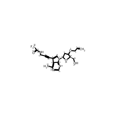 C=CCOC1C[C@H](n2cc(C#CCNC(=O)C(F)(F)F)c3c(N)ncnc32)O[C@@H]1CO